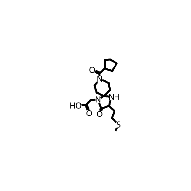 CSCCC1NC2(CCN(C(=O)C3CCCC3)CC2)N(CC(=O)O)C1=O